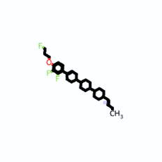 CC/C=C/C1CCC(C2CCC(C3CC=C(c4ccc(OCCCF)c(F)c4F)CC3)CC2)CC1